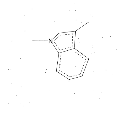 Cc1cn(C)c2c[c]ccc12